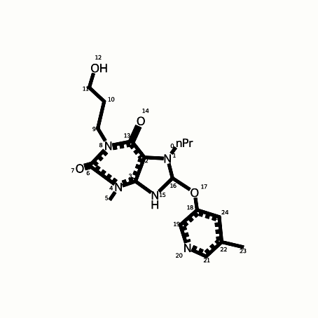 CCCN1c2c(n(C)c(=O)n(CCCO)c2=O)NC1Oc1cncc(C)c1